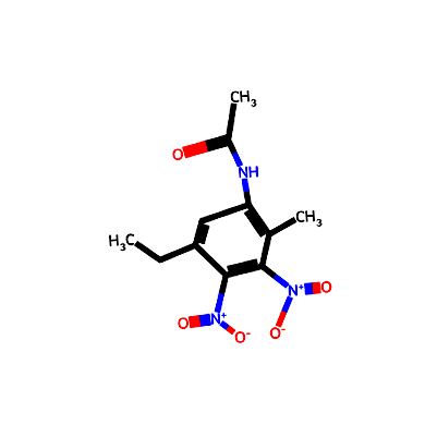 CCc1cc(NC(C)=O)c(C)c([N+](=O)[O-])c1[N+](=O)[O-]